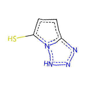 Sc1ccc2nn[nH]n12